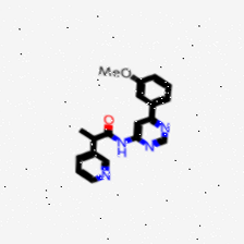 COc1cccc(-c2cc(NC(=O)C(C)c3cccnc3)ncn2)c1